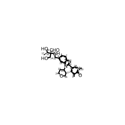 Cc1cc(-c2nc3ccc(CN[C@@](C=O)(CO)[C@@H](C)O)cc3n2C2CCOCC2)cn(C)c1=O